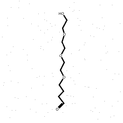 O=CCCCOCCOCCOCCO